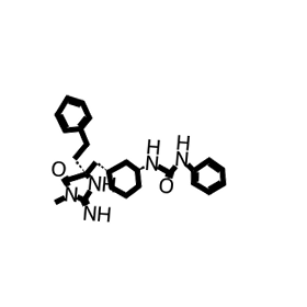 CN1C(=N)N[C@](CCc2ccccc2)(C[C@H]2CCC[C@@H](NC(=O)Nc3ccccc3)C2)C1=O